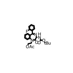 CC(=O)OCCN1C(=O)[C@@H](NC(=O)OC(C)(C)C)N=C(c2ccccc2F)c2ccccc21